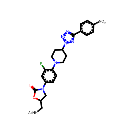 CC(=O)NCC1CN(c2ccc(N3CCC(n4nnc(-c5ccc([N+](=O)[O-])cc5)n4)CC3)c(F)c2)C(=O)O1